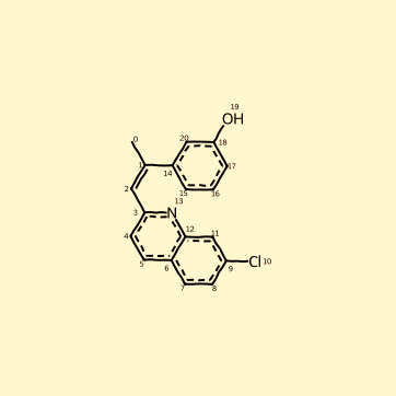 CC(=Cc1ccc2ccc(Cl)cc2n1)c1cccc(O)c1